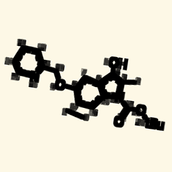 CC.Cc1c(O)c2cc(OCc3ccccn3)ccc2n1C(=O)OC(C)(C)C